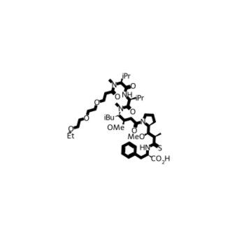 CCOCCOCCOCCC(=O)N(C)[C@H](C(=O)N[C@H](C(=O)N(C)[C@@H]([C@@H](C)CC)[C@@H](CC(=O)N1CCC[C@H]1[C@H](OC)[C@@H](C)C(=S)N[C@@H](Cc1ccccc1)C(=O)O)OC)C(C)C)C(C)C